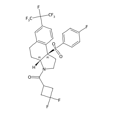 O=C(C1CC(F)(F)C1)N1CC[C@@]2(S(=O)(=O)c3ccc(F)cc3)c3ccc(C(F)(C(F)(F)F)C(F)(F)F)cc3CC[C@@H]12